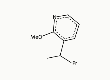 COc1ncccc1C(C)C(C)C